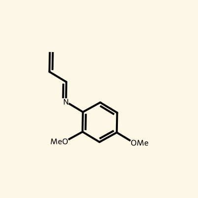 C=CC=Nc1ccc(OC)cc1OC